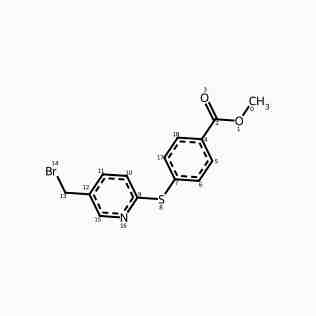 COC(=O)c1ccc(Sc2ccc(CBr)cn2)cc1